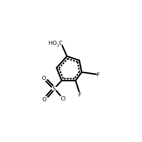 O=C(O)c1cc(F)c(F)c(S(=O)(=O)Cl)c1